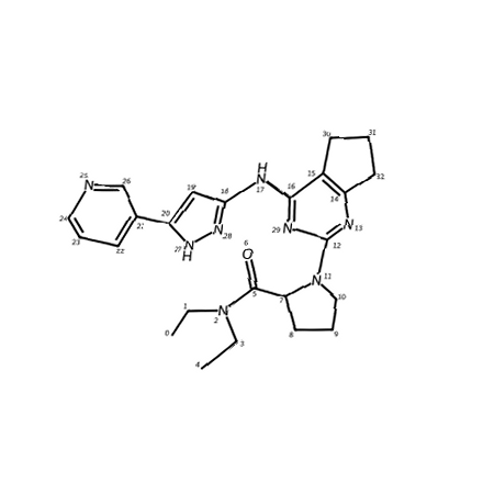 CCN(CC)C(=O)C1CCCN1c1nc2c(c(Nc3cc(-c4cccnc4)[nH]n3)n1)CCC2